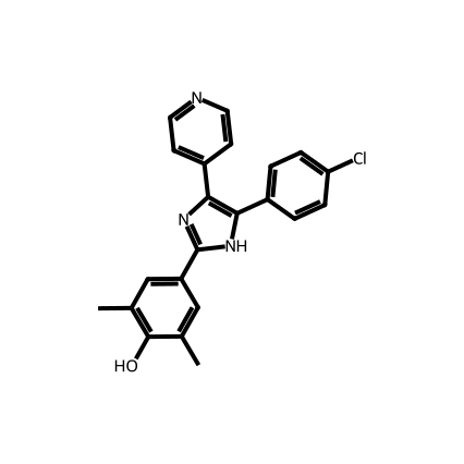 Cc1cc(-c2nc(-c3ccncc3)c(-c3ccc(Cl)cc3)[nH]2)cc(C)c1O